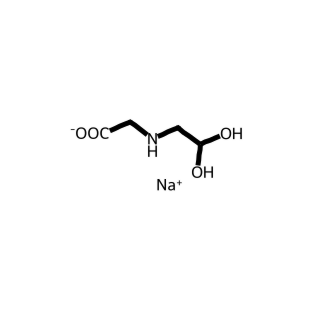 O=C([O-])CNCC(O)O.[Na+]